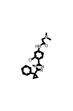 CN(C)CC(=O)Nc1ccc(-c2nnc(C3(c4ccccc4)CC3)n2C)c(Cl)c1